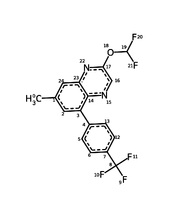 Cc1cc(-c2ccc(C(F)(F)F)cc2)c2ncc(OC(F)F)nc2c1